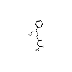 O=C(O)CC(=O)OCC(CO)c1ccccc1